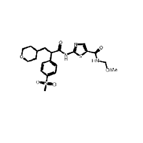 COCNC(=O)c1cnc(NC(=O)C(CC2CCOCC2)c2ccc(S(C)(=O)=O)cc2)s1